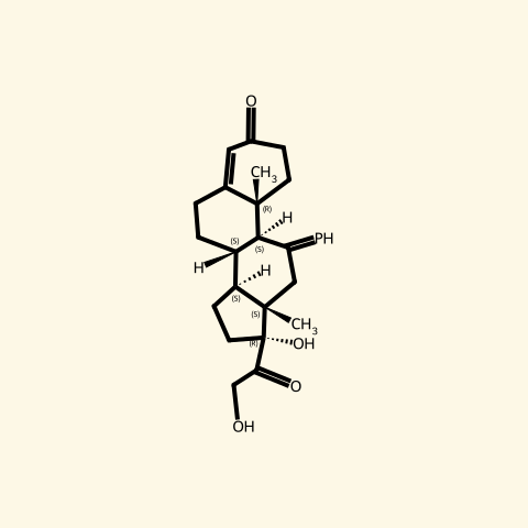 C[C@]12CCC(=O)C=C1CC[C@@H]1[C@@H]2C(=P)C[C@@]2(C)[C@H]1CC[C@]2(O)C(=O)CO